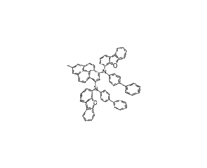 Cc1cc2ccc3c(N(c4ccc(-c5ccccc5)cc4)c4cccc5c4oc4ccccc45)cc(N(c4ccc(-c5ccccc5)cc4)c4cccc5c4oc4ccccc45)c4ccc(c1)c2c34